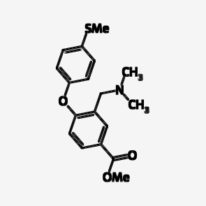 COC(=O)c1ccc(Oc2ccc(SC)cc2)c(CN(C)C)c1